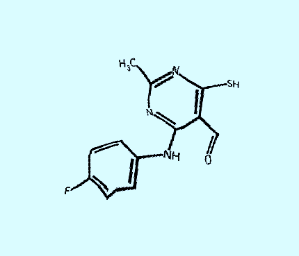 Cc1nc(S)c(C=O)c(Nc2ccc(F)cc2)n1